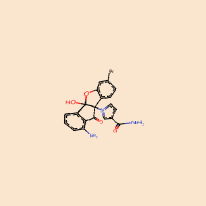 CC(C)c1ccc2c(c1)OC1(O)c3cccc(N)c3C(=O)C21n1ccc(C(N)=O)c1